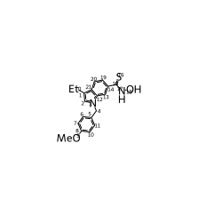 CCc1cn(Cc2ccc(OC)cc2)c2cc(C(=S)NO)ccc12